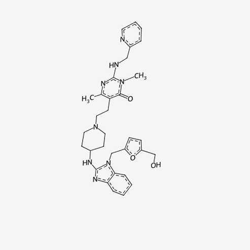 Cc1nc(NCc2ccccn2)n(C)c(=O)c1CCN1CCC(Nc2nc3ccccc3n2Cc2ccc(CO)o2)CC1